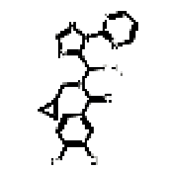 CC(c1ncnn1-c1ncccn1)N(CC1CC1)C(=O)c1ccc(Cl)c(Cl)c1